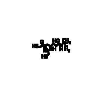 CC(C)NC(O)CCC(CNC(=O)CS)NC(=O)CS